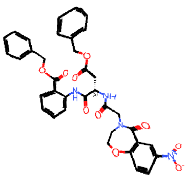 O=C(CN1CCOc2ccc([N+](=O)[O-])cc2C1=O)N[C@@H](CC(=O)OCc1ccccc1)C(=O)Nc1ccccc1C(=O)OCc1ccccc1